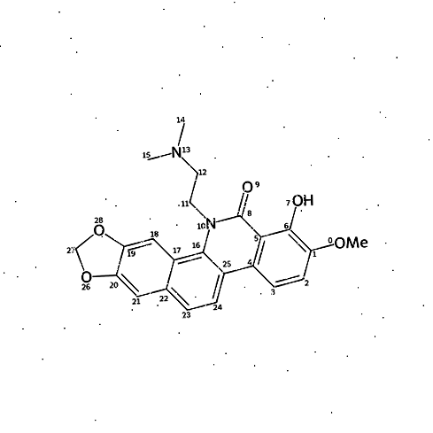 COc1ccc2c(c1O)c(=O)n(CCN(C)C)c1c3cc4c(cc3ccc21)OCO4